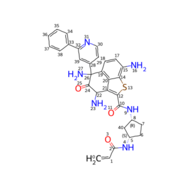 C=CC(=O)N[C@H]1CC[C@@H](NC(=O)c2sc3c(N)ccc4c3c2C(N)C(=O)C4(N)c2ccnc(-c3ccccc3)c2)C1